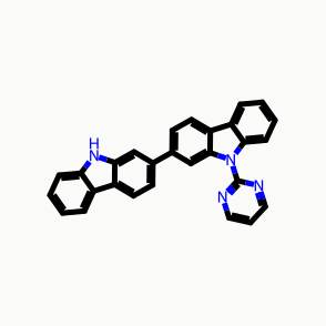 c1cnc(-n2c3ccccc3c3ccc(-c4ccc5c(c4)[nH]c4ccccc45)cc32)nc1